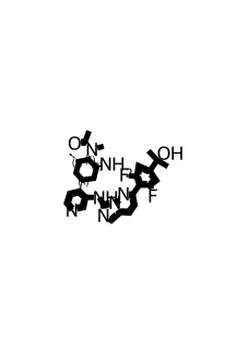 CC(=O)N(C)[C@@H]1[C@H](N)C[C@H](c2ccncc2Nc2ncc3ccc(-c4c(F)cc(C(C)(C)O)cc4F)nn23)C[C@@H]1C